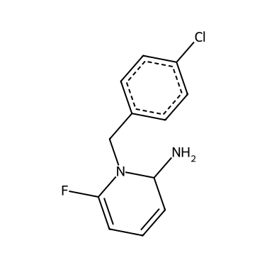 NC1C=CC=C(F)N1Cc1ccc(Cl)cc1